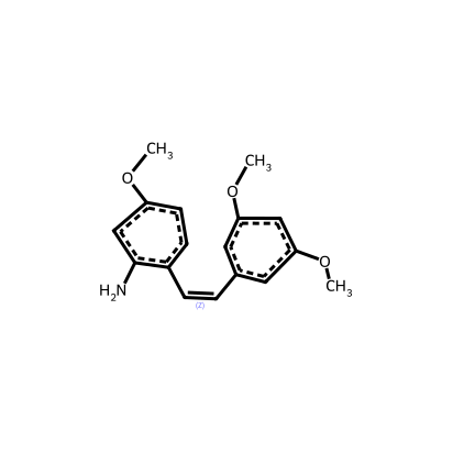 COc1cc(/C=C\c2ccc(OC)cc2N)cc(OC)c1